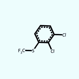 FC(F)(F)Sc1cccc(Cl)c1Cl